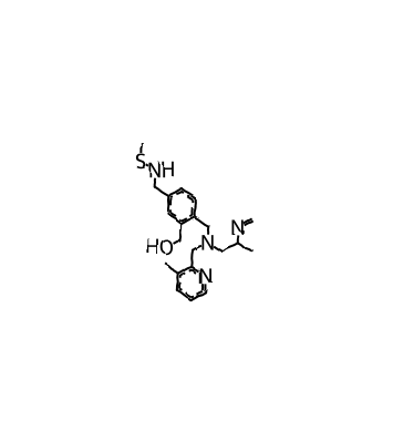 C=NC(C)CN(Cc1ccc(CNSC)cc1CO)Cc1ncccc1C